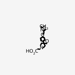 Cc1nc(COc2ccc3c(c2)OCC32CCN(CCC(=O)O)CC2)cs1